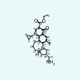 CCOC(=O)c1cn(C2CC2)c2c3c(c(F)cc2c1=O)N1C[C@@H](CN)C[C@@H]1CCC3